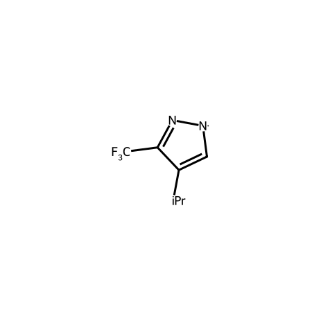 CC(C)C1=C[N]N=C1C(F)(F)F